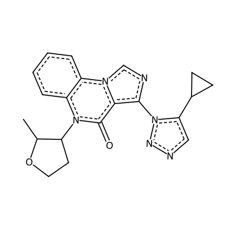 CC1OCCC1n1c(=O)c2c(-n3nncc3C3CC3)ncn2c2ccccc21